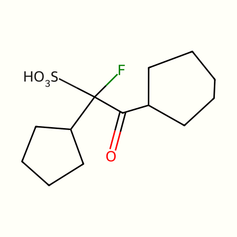 O=C(C1CCCCC1)C(F)(C1CCCC1)S(=O)(=O)O